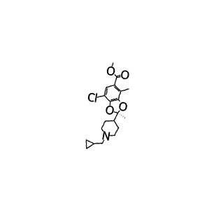 COC(=O)c1cc(Cl)c2c(c1C)O[C@@](C)(C1CCN(CC3CC3)CC1)O2